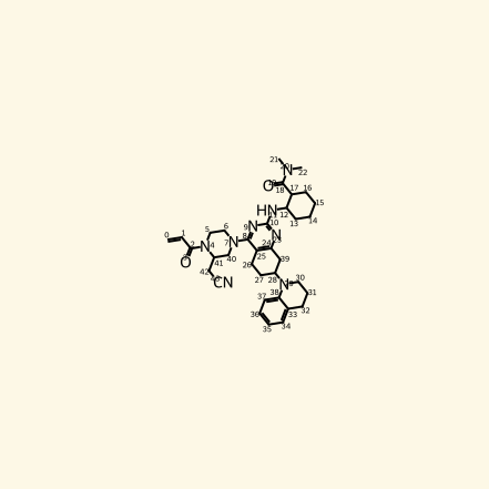 C=CC(=O)N1CCN(c2nc(NC3CCCCC3C(=O)N(C)C)nc3c2CCC(N2CCCc4ccccc42)C3)CC1CC#N